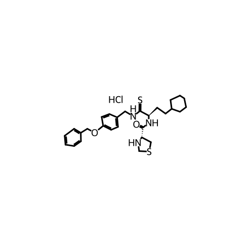 Cl.O=C(N[C@H](CCC1CCCCC1)C(=S)NCc1ccc(OCc2ccccc2)cc1)[C@@H]1CSCN1